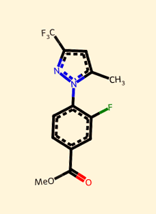 COC(=O)c1ccc(-n2nc(C(F)(F)F)cc2C)c(F)c1